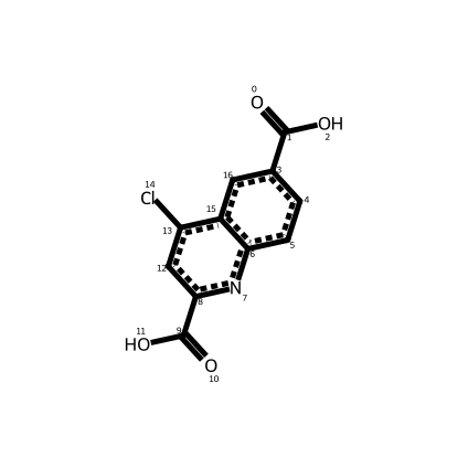 O=C(O)c1ccc2nc(C(=O)O)cc(Cl)c2c1